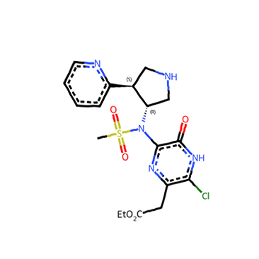 CCOC(=O)Cc1nc(N([C@H]2CNC[C@@H]2c2ccccn2)S(C)(=O)=O)c(=O)[nH]c1Cl